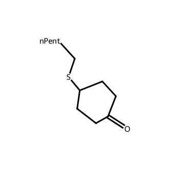 CCCCCCSC1CCC(=O)CC1